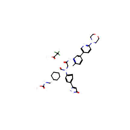 CC(C)(C)OC(=O)NC[C@H]1CC[C@H](C(=O)N(c2ccc(-c3cc(=O)[nH][nH]3)cc2)[C@@H](Cc2ccc(-c3ccc(N4CCOCC4)nc3)cc2)C(N)=O)CC1.O=C(O)C(F)(F)F